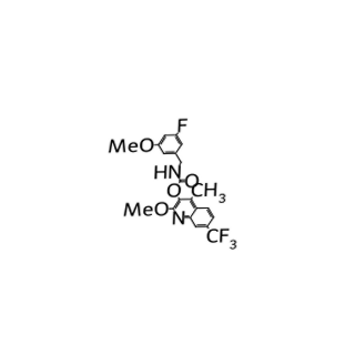 COc1cc(F)cc(CNC(=O)Oc2c(OC)nc3cc(C(F)(F)F)ccc3c2C)c1